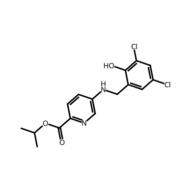 CC(C)OC(=O)c1ccc(NCc2cc(Cl)cc(Cl)c2O)cn1